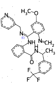 C=Nc1ccc(OC)cc1/C(=N\Cc1cccnc1)Nc1ccccc1C(=O)NC(C)c1cccc(C(F)(F)F)c1